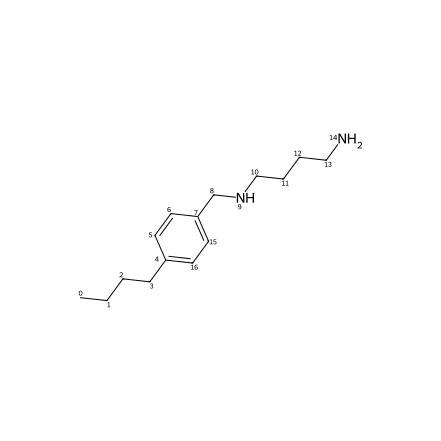 CCCCc1ccc(CNCCCCN)cc1